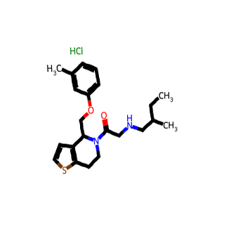 CCC(C)CNCC(=O)N1CCc2sccc2C1COc1cccc(C)c1.Cl